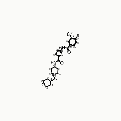 O=C(Nc1nc(C(=O)NC2CCN(CC3CCOCC3)CC2)cs1)c1ccc(F)c(Cl)c1